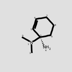 CN(C)[C@@]1(N)C=CCCC1